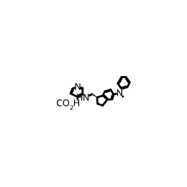 CN(c1ccccc1)c1ccc2c(c1)CC[C@H]2CNc1cnccc1C(=O)O